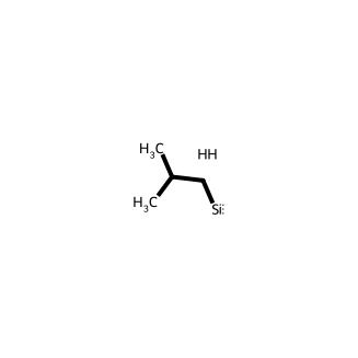 CC(C)C[Si].[HH]